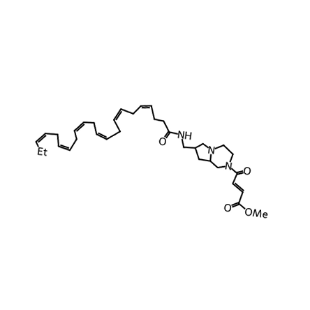 CC/C=C\C/C=C\C/C=C\C/C=C\C/C=C\C/C=C\CCC(=O)NCC1CC2CN(C(=O)C=CC(=O)OC)CCN2C1